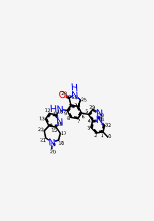 Cc1ccc2c(-c3ccc(Nc4ccc5c(n4)CCN(C)CC5)c4c3CNC4=O)cnn2c1